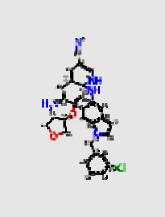 N#CC1=CNC2(Nc3ccc4c(ccn4Cc4cccc(Cl)c4)c3)C=C(OC3CCOC3)C(N)=CC2=C1